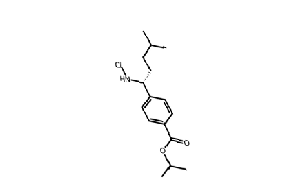 CC(C)CC[C@@H](NCl)c1ccc(C(=O)OC(C)C)cc1